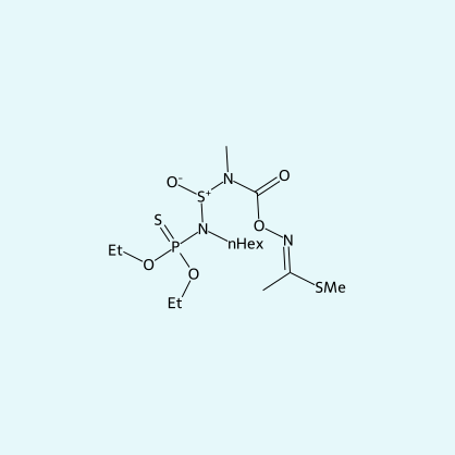 CCCCCCN([S+]([O-])N(C)C(=O)ON=C(C)SC)P(=S)(OCC)OCC